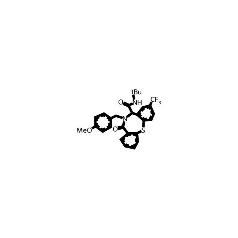 COc1ccc(CN2C(=O)c3ccccc3Sc3ccc(C(F)(F)F)cc3C2C(=O)NC(C)(C)C)cc1